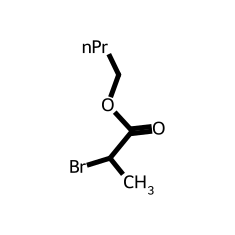 CCCCOC(=O)C(C)Br